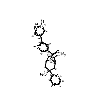 CC1CC2CC(O)(c3cnccn3)CC1N2C(=O)c1csc(-c2cn[nH]c2)c1